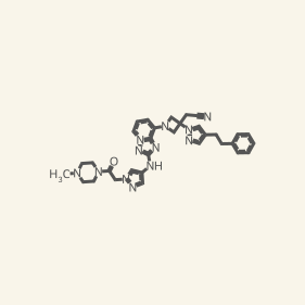 CN1CCN(C(=O)Cn2cc(Nc3nc4c(N5CC(CC#N)(n6cc(CCc7ccccc7)cn6)C5)cccn4n3)cn2)CC1